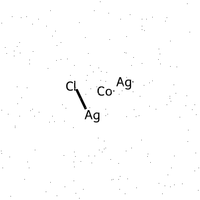 [Ag].[Cl][Ag].[Co]